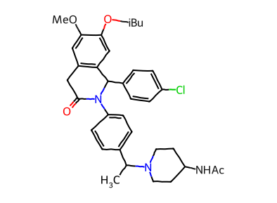 CCC(C)Oc1cc2c(cc1OC)CC(=O)N(c1ccc(C(C)N3CCC(NC(C)=O)CC3)cc1)C2c1ccc(Cl)cc1